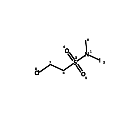 CN(I)S(=O)(=O)CCCl